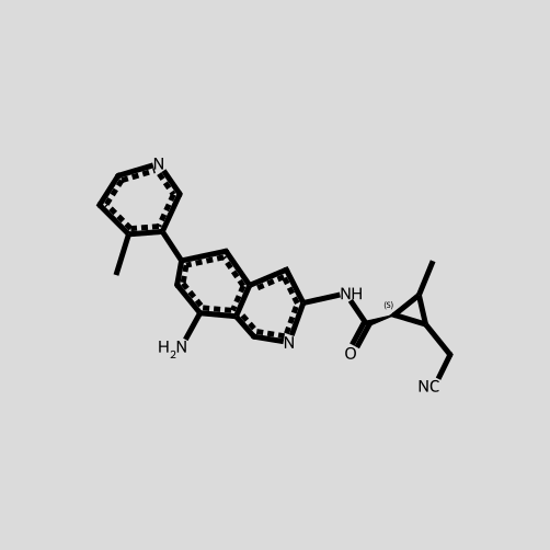 Cc1ccncc1-c1cc(N)c2cnc(NC(=O)[C@H]3C(C)C3CC#N)cc2c1